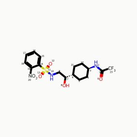 O=C(N[C@H]1CC[C@H](C(O)CNS(=O)(=O)c2ccccc2[N+](=O)[O-])CC1)C(F)(F)F